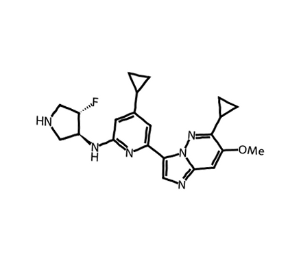 COc1cc2ncc(-c3cc(C4CC4)cc(N[C@H]4CNC[C@@H]4F)n3)n2nc1C1CC1